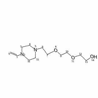 C=CN1CCN(CCOCCOCCO)CC1